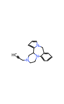 C#CCN1CCN2c3ccccc3Cn3cccc3C2C1